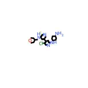 N[C@H]1CC[C@H](Nc2cc(-c3cnc(F)c(NCC4CCOCC4)c3)c(Cl)cn2)CC1